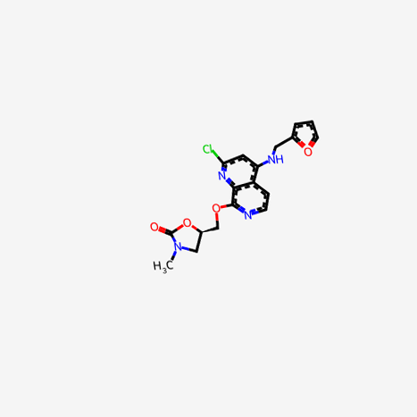 CN1C[C@H](COc2nccc3c(NCc4ccco4)cc(Cl)nc23)OC1=O